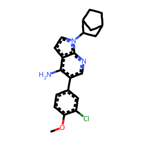 COc1ccc(-c2cnc3c(ccn3C3CC4CCC3C4)c2N)cc1Cl